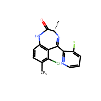 C[C@@H]1N=C(c2ncccc2F)c2c(ccc(C(F)(F)F)c2Cl)NC1=O